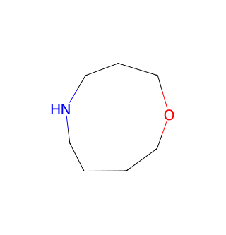 C1CCOCCCNC1